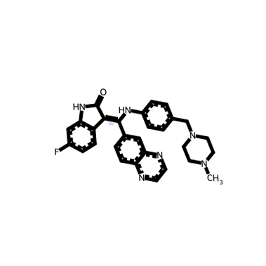 CN1CCN(Cc2ccc(N/C(=C3\C(=O)Nc4cc(F)ccc43)c3ccc4nccnc4c3)cc2)CC1